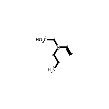 C=CN(CCN)CC(=O)O